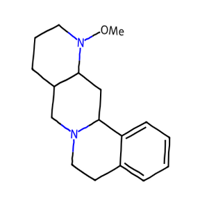 CON1CCCC2CN3CCc4ccccc4C3CC21